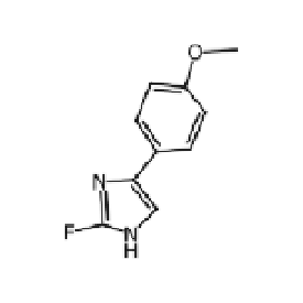 COc1ccc(-c2c[nH]c(F)n2)cc1